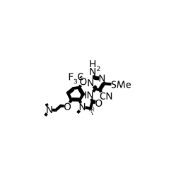 CSc1nc(N)nc(NC(=O)[C@H](C)N(C)c2cc(OC(F)(F)F)ccc2OCCN(C)C)c1C#N